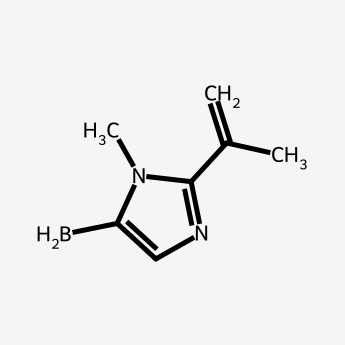 Bc1cnc(C(=C)C)n1C